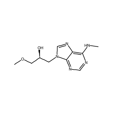 CNc1ncnc2c1ncn2C[C@H](O)COC